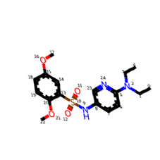 CCN(CC)c1ccc(NS(=O)(=O)c2cc(OC)ccc2OC)cn1